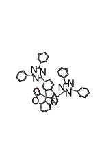 c1ccc(-c2nc(-c3ccccc3)nc(-c3ccc4c(c3)C3(c5ccccc5Oc5ccccc53)c3cccc(-c5nc(-c6ccccc6)nc(-c6ccccc6)n5)c3-4)n2)cc1